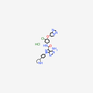 Cl.Nc1ncnc2c1c(C(=O)Nc1ccc(Oc3ccn4ncnc4c3)c(Cl)c1)nn2-c1ccc(C2CCCNC2)cc1